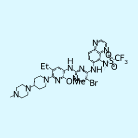 CCc1cc(Nc2ncc(Br)c(Nc3ccc4nccnc4c3N(C)S(=O)(=O)C(F)(F)F)n2)c(OC)nc1N1CCC(N2CCN(C)CC2)CC1